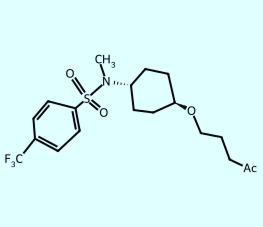 CC(=O)CCCO[C@H]1CC[C@H](N(C)S(=O)(=O)c2ccc(C(F)(F)F)cc2)CC1